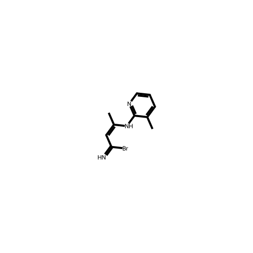 C/C(=C/C(=N)Br)Nc1ncccc1C